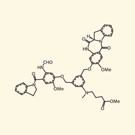 COC(=O)CCCN(C)c1cc(COc2cc(NC=O)c(C(=O)N3CCc4ccccc43)cc2OC)cc(COc2cc3c(cc2OC)C(=O)N2c4ccccc4C[C@H]2C(=O)N3)c1